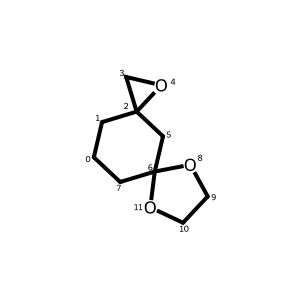 C1CC2(CO2)CC2(C1)OCCO2